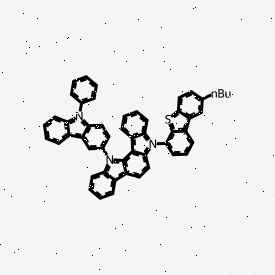 CCCCc1ccc2sc3c(-n4c5ccccc5c5c4ccc4c6ccccc6n(-c6ccc7c(c6)c6ccccc6n7-c6ccccc6)c45)cccc3c2c1